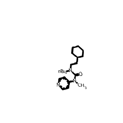 CCCCN(CCC1CCCCC1)C(=O)N(C)c1ccncc1